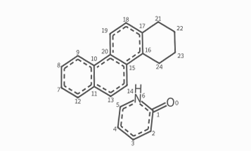 O=c1cccc[nH]1.c1ccc2c(c1)ccc1c3c(ccc12)CCCC3